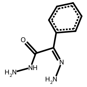 NN=C(C(=O)NN)c1ccccc1